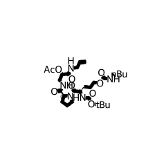 C=CCNC(=O)C(CNC(=O)[C@@H]1CCCN1C(=O)[C@H](CCCOC(=O)NCCCC)NC(=O)OC(C)(C)C)OC(C)=O